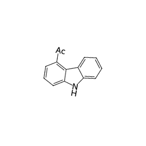 CC(=O)c1cccc2[nH]c3ccccc3c12